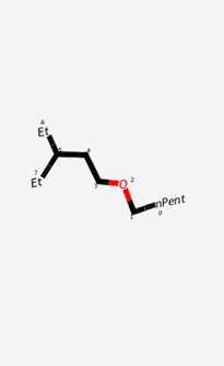 [CH2]CCCCCOCCC(CC)CC